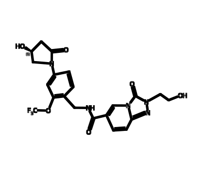 O=C(NCc1ccc(N2C[C@@H](O)CC2=O)cc1OC(F)(F)F)c1ccc2nn(CCO)c(=O)n2c1